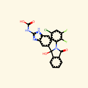 O=C(O)Nc1nc2cc(C3(O)c4ccccc4C(=O)N3c3cc(Cl)cc(F)c3F)ccc2[nH]1